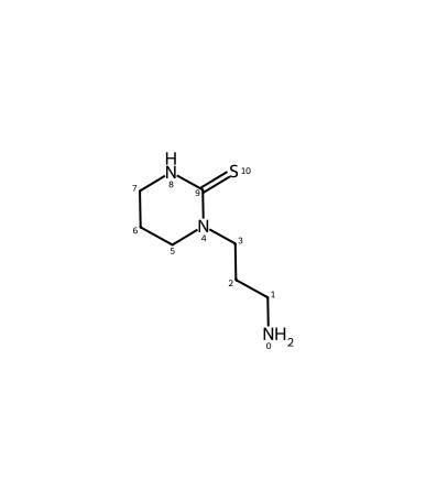 NCCCN1CCCNC1=S